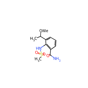 COC(C)c1cccc(C(N)=O)c1NS(C)(=O)=O